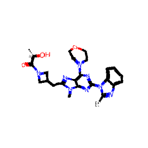 CCc1nc2ccccc2n1-c1nc(N2CCOCC2)c2nc(CC3CN(C(=O)[C@H](C)O)C3)n(C)c2n1